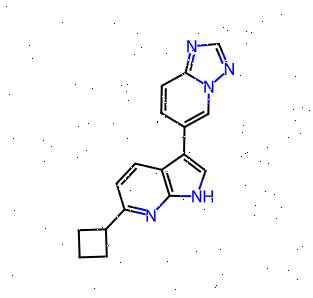 c1nc2ccc(-c3c[nH]c4nc(C5CCC5)ccc34)cn2n1